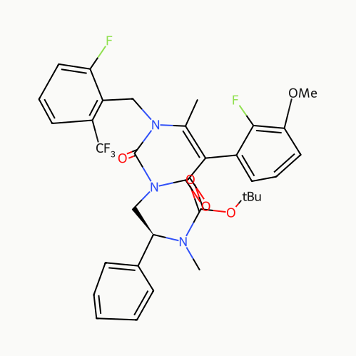 COc1cccc(-c2c(C)n(Cc3c(F)cccc3C(F)(F)F)c(=O)n(C[C@H](c3ccccc3)N(C)C(=O)OC(C)(C)C)c2=O)c1F